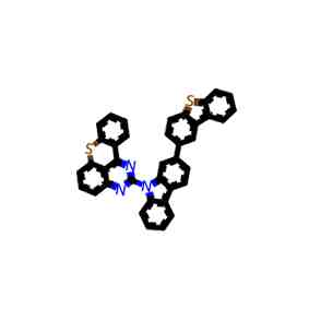 c1ccc2c(c1)Sc1cccc3nc(-n4c5ccccc5c5ccc(-c6ccc7sc8ccccc8c7c6)cc54)nc-2c13